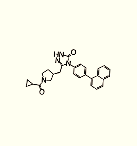 O=C(C1CC1)N1CC[C@@H](Cc2n[nH]c(=O)n2-c2ccc(-c3cccc4ccccc34)cc2)C1